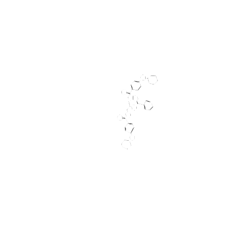 O=C(OCC(COC(=O)c1ccc(OC2CCCCC2)cc1)OC(=O)c1ccccc1)c1ccc(OC2CCCCC2)cc1